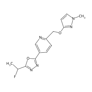 CC(F)c1nnc(-c2ccc(COc3ccn(C)n3)nc2)o1